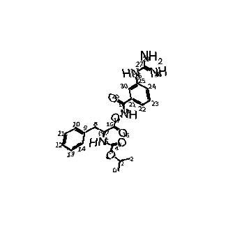 CC(C)OC(=O)N[C@@H](Cc1ccccc1)C(=O)ONC(=O)c1cccc(NC(=N)N)c1